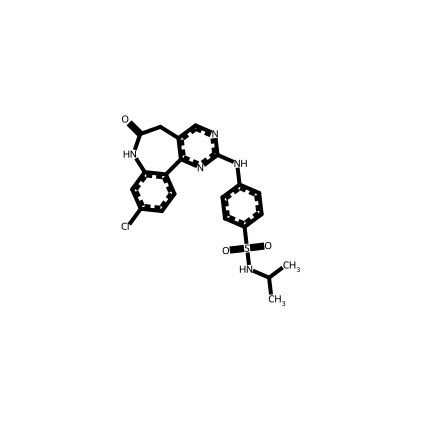 CC(C)NS(=O)(=O)c1ccc(Nc2ncc3c(n2)-c2ccc(Cl)cc2NC(=O)C3)cc1